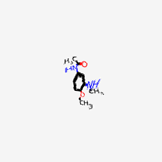 CCOc1ccc(NC(C)=O)cc1NC